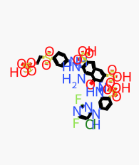 Nc1c(NNc2ccc(S(=O)(=O)CCOS(=O)(=O)O)cc2)c(S(=O)(=O)O)cc2c1C(=O)/C(=N\Nc1cc(Nc3nc(F)nc(F)c3Cl)ccc1S(=O)(=O)O)C(S(=O)(=O)O)=C2